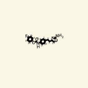 NC1=NC(CCc2ccc(NC(=O)Oc3ccc(F)cc3)cc2)CO1